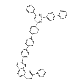 c1ccc(-c2ccc(-c3nc(-c4ccccc4)cc(-c4ccc(-c5ccc(-c6ccc(-c7ccc8ccc9ccc(-c%10ccccc%10)nc9c8n7)cc6)cc5)cc4)n3)cc2)cc1